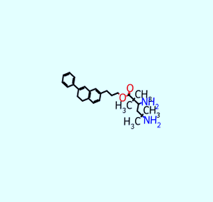 CC(C)(N)CC(N)C(C)(C)C(=O)OCCCc1ccc2c(c1)C=C(c1ccccc1)CC2